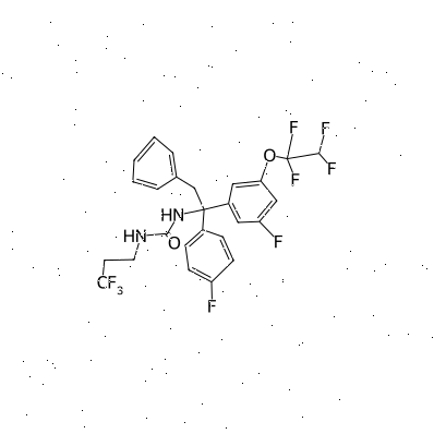 O=C(NCCC(F)(F)F)NC(Cc1ccccc1)(c1ccc(F)cc1)c1cc(F)cc(OC(F)(F)C(F)F)c1